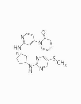 CSc1cnc(NC2CC[C@H](Nc3cc(-n4ccccc4=O)ccn3)C2)nc1